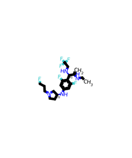 C=C(NCC)[C@H](NCC(F)(F)F)c1c(F)cc(N[C@H]2CCN(CCCF)C2)cc1F